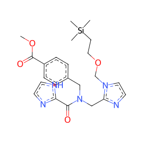 COC(=O)c1ccc(CN(Cc2nccn2COCC[Si](C)(C)C)C(=O)c2ncc[nH]2)cc1